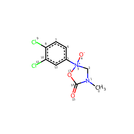 CN1C[N+]([O-])(c2ccc(Cl)c(Cl)c2)OC1=O